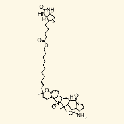 CC1(C/C=C/CCCCCCCCOC(=O)CCCC[C@@H]2SC[C@]3(C)NC(=O)N[C@H]23)C=Cc2c(ccc3c2[N+]([O-])=C2C3=C[C@H]3C(=O)N4CCC[C@@]4(C(N)=O)CC3C2(C)C)O1